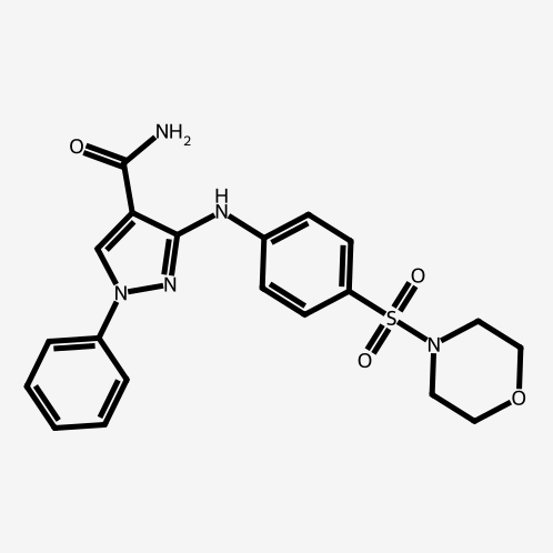 NC(=O)c1cn(-c2ccccc2)nc1Nc1ccc(S(=O)(=O)N2CCOCC2)cc1